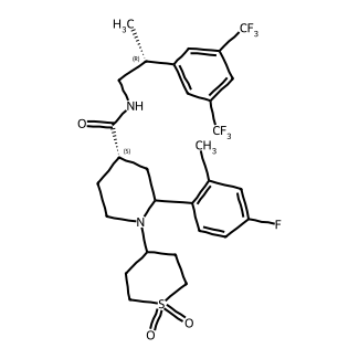 Cc1cc(F)ccc1C1C[C@@H](C(=O)NC[C@H](C)c2cc(C(F)(F)F)cc(C(F)(F)F)c2)CCN1C1CCS(=O)(=O)CC1